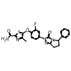 Cc1nc(C(N)=O)sc1Oc1ccc(-n2nc3n(c2=O)C(c2ccccc2)CC3)cc1F